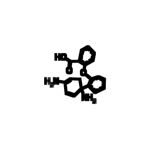 NC1=CCC(N)(c2ccccc2Oc2ccccc2C(=O)O)C=C1